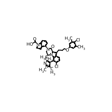 Cc1cc(OCCCc2c3n(c4c(-c5c(C)nn(C)c5C)c(Cl)ccc24)[C@H](C)CN(c2cccc4c2ccn4C(=O)O)C3=O)cc(C)c1Cl